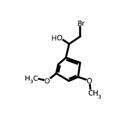 COc1cc(OC)cc(C(O)CBr)c1